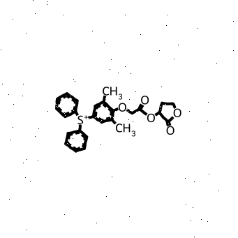 Cc1cc([S+](c2ccccc2)c2ccccc2)cc(C)c1OCC(=O)OC1CCOC1=O